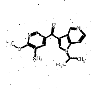 COc1ncc(C(=O)c2cn(C(C)C)c3ccncc23)cc1N